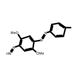 COc1cc(/N=N/c2ccc(C)cc2)c(OC)cc1N=N